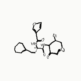 CCC1COCC(=O)C1NC(=O)[C@H](CC1CCCCC1)NC(=O)c1ccoc1